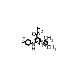 Cc1cc(C)n(-c2cc(C(N)=O)cc(NC3CCC(F)(F)CC3)n2)n1